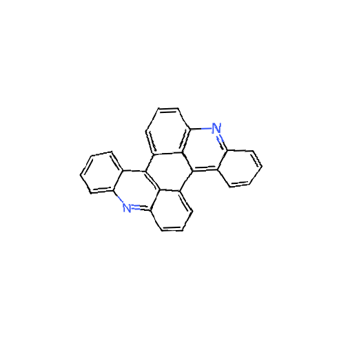 c1ccc2c(c1)nc1cccc3c1c2c1cccc2nc4ccccc4c3c21